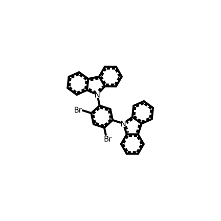 Brc1cc(Br)c(-n2c3ccccc3c3ccccc32)cc1-n1c2ccccc2c2ccccc21